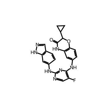 O=C1Nc2cc(Nc3nc(Nc4ccc5cn[nH]c5c4)ncc3F)ccc2OC1C1CC1